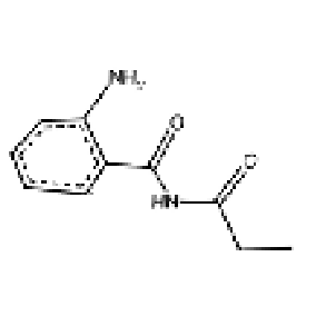 CCC(=O)NC(=O)c1[c]cccc1N